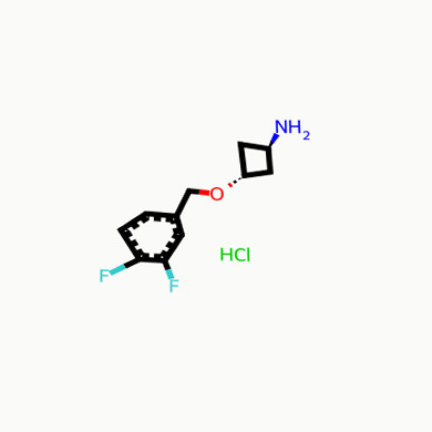 Cl.N[C@H]1C[C@H](OCc2ccc(F)c(F)c2)C1